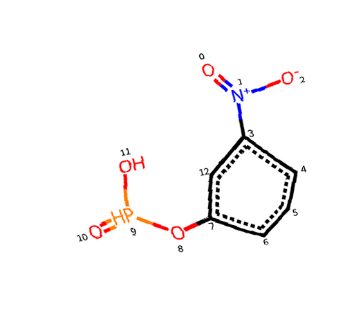 O=[N+]([O-])c1cccc(O[PH](=O)O)c1